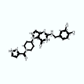 O=C(c1cc[nH]n1)N1CCC(n2ncc3nc(NCc4ccc(Cl)c(Cl)c4)[nH]c(=O)c32)CC1